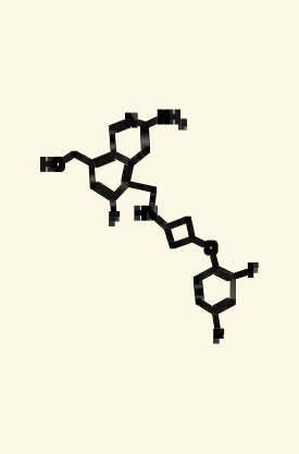 Nc1cc2c(CNC3CC(Oc4ccc(F)cc4F)C3)c(F)cc(CO)c2cn1